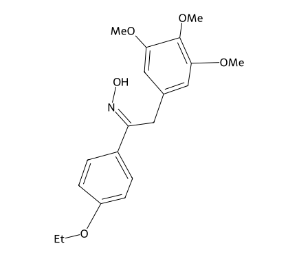 CCOc1ccc(C(Cc2cc(OC)c(OC)c(OC)c2)=NO)cc1